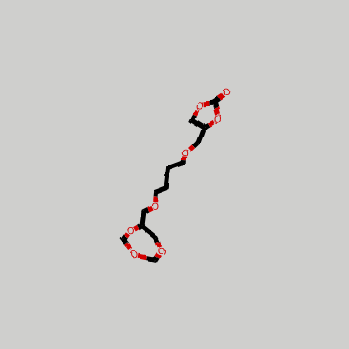 O=C1OCC(COCCCCOCC2COCOCO2)O1